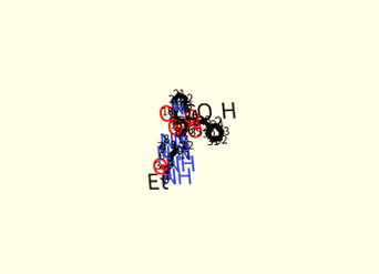 CCNC(=O)Nc1ncnc2c1ncn2C1OC(C(=O)N2CCCC2C(=O)O)C2OC(Cc3ccccc3)OC21